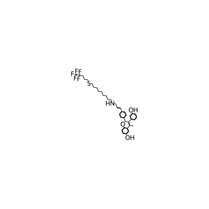 CC1=C(c2cccc(O)c2)C(c2ccc(/C=C/CNCCCCCCCCCSCCCC(F)(F)C(F)(F)F)cc2)Oc2ccc(O)cc21